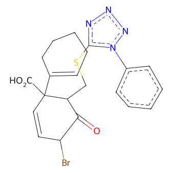 O=C1C(Br)C=CC(C(=O)O)(C2=CCCCC2)C1CSc1nnnn1-c1ccccc1